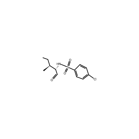 CC[C@H](C)[C@@H](C=O)NS(=O)(=O)c1ccc(Cl)cc1